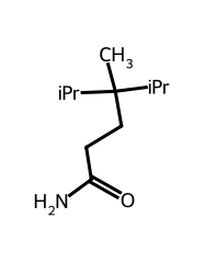 CC(C)C(C)(CCC(N)=O)C(C)C